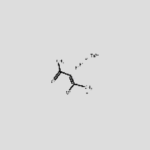 CC(=O)/C=C(/C)[O-].[F-].[F-].[F-].[F-].[Ta+5]